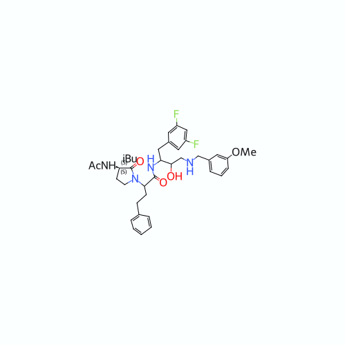 CC[C@H](C)[C@@]1(NC(C)=O)CCN(C(CCc2ccccc2)C(=O)NC(Cc2cc(F)cc(F)c2)C(O)CNCc2cccc(OC)c2)C1=O